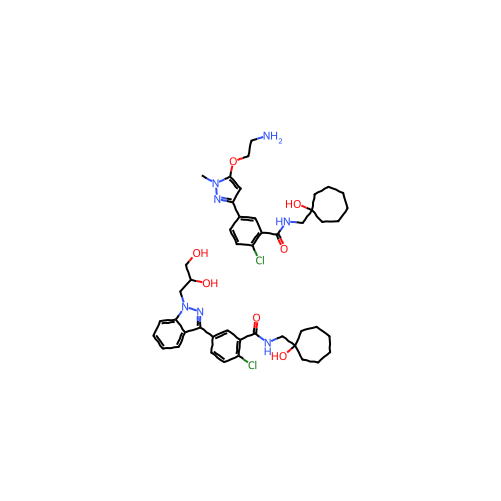 Cn1nc(-c2ccc(Cl)c(C(=O)NCC3(O)CCCCCC3)c2)cc1OCCN.O=C(NCC1(O)CCCCCC1)c1cc(-c2nn(CC(O)CO)c3ccccc23)ccc1Cl